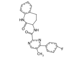 Cc1cnc(C(=O)NC2CCc3ccccc3NC2=O)nc1-c1ccc(F)cc1